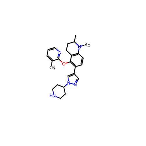 CC(=O)N1c2ccc(-c3cnn(C4CCNCC4)c3)c(Oc3ncccc3C#N)c2CCC1C